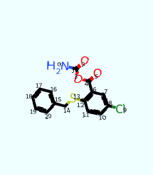 NC(=O)OC(=O)c1cc(Cl)ccc1SCc1ccccc1